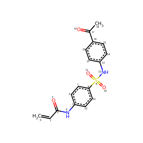 C=CC(=O)Nc1ccc(S(=O)(=O)Nc2ccc(C(C)=O)cc2)cc1